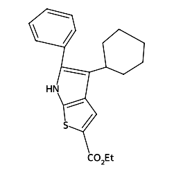 CCOC(=O)c1cc2c(C3CCCCC3)c(-c3ccccc3)[nH]c2s1